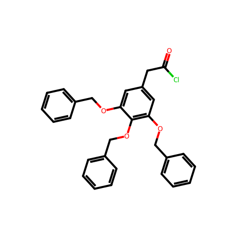 O=C(Cl)Cc1cc(OCc2ccccc2)c(OCc2ccccc2)c(OCc2ccccc2)c1